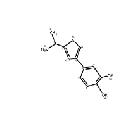 CC(C)c1nc(-c2ccc(O)c(O)c2)cs1